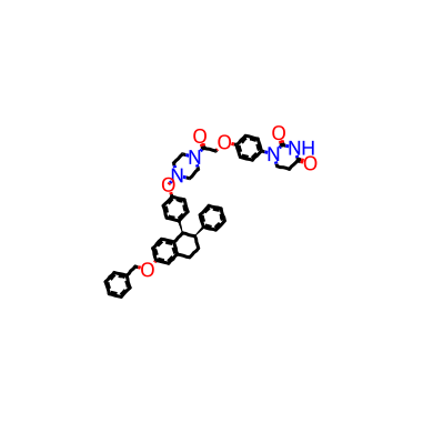 O=C1CCN(c2ccc(OCC(=O)N3CCN(Oc4ccc([C@@H]5c6ccc(OCc7ccccc7)cc6CC[C@@H]5c5ccccc5)cc4)CC3)cc2)C(=O)N1